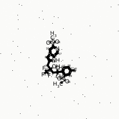 CC(C)(CC(O)(Cc1cc2cc(S(C)(=O)=O)ncc2[nH]1)C(F)(F)F)c1ccc(F)cc1S(C)(=O)=O